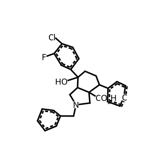 O=C(O)C12CN(Cc3ccccc3)CC1C(O)(c1ccc(Cl)c(F)c1)CCC2c1ccccc1